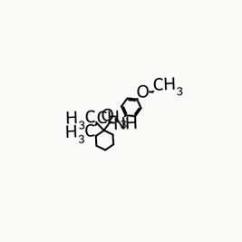 CCOc1ccc(NC(=O)C2(C(C)(C)C)CCCCC2)cc1